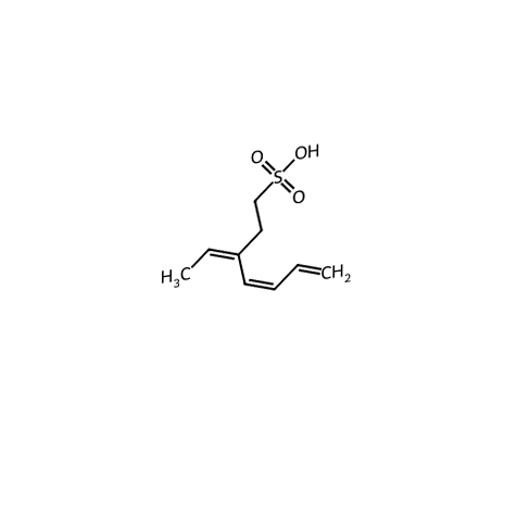 C=C/C=C\C(=C/C)CCS(=O)(=O)O